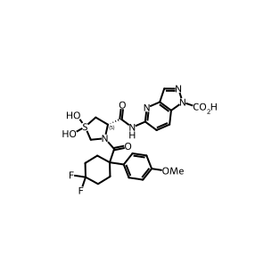 COc1ccc(C2(C(=O)N3CS(O)(O)C[C@@H]3C(=O)Nc3ccc4c(cnn4C(=O)O)n3)CCC(F)(F)CC2)cc1